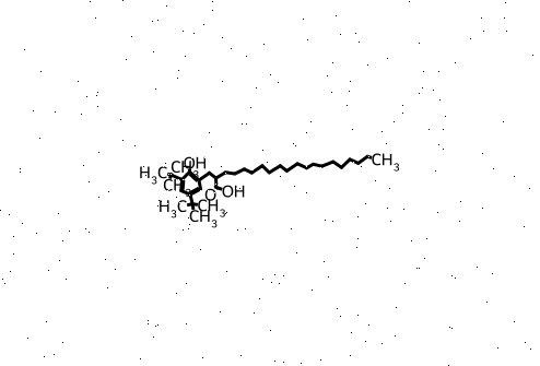 CCCCCCCCCCCCCCCCCCC(Cc1cc(C(C)(C)C)cc(C(C)(C)C)c1O)C(=O)O